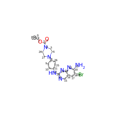 CC(C)(C)OC(=O)N1CCN(c2ccc(Nc3ncc4cc(Br)c(N)nc4n3)cc2)CC1